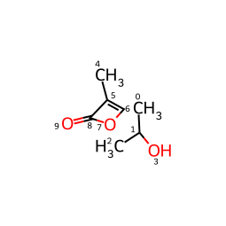 CC(C)O.CC1=COC1=O